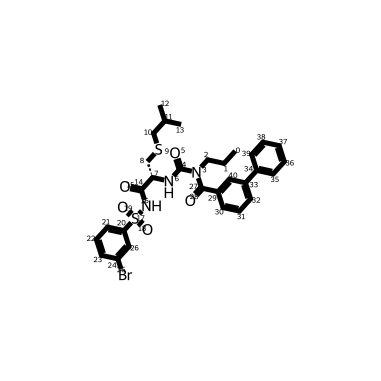 CCCN(C(=O)N[C@@H](CSCC(C)C)C(=O)NS(=O)(=O)c1cccc(Br)c1)C(=O)c1cccc(-c2ccccc2)c1